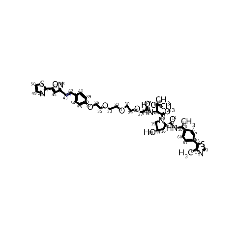 Cc1ncsc1-c1ccc([C@H](C)NC(=O)[C@@H]2C[C@@H](O)CN2C(=O)[C@@H](NC(=O)COCCOCCOCCOc2ccc(/C=C/c3cc(-c4nccs4)on3)cc2)C(C)(C)C)cc1